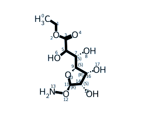 CCOC(=O)C(O)[C@H](O)[C@H]1O[C@H](ON)[C@@H](O)[C@H]1O